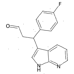 O=CCC(c1ccc(F)cc1)c1c[nH]c2ncccc12